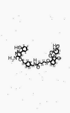 Nc1nnc(-c2ccccc2O)cc1OCCc1ccc(CNC(=O)CCCCOc2cccc3c2C(=O)N(C2CCC(=O)NC2=O)C3=O)cc1